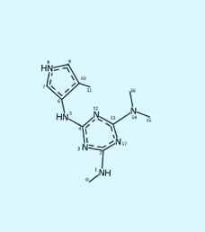 CNc1nc(Nc2c[nH]cc2C)nc(N(C)C)n1